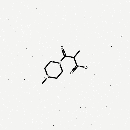 CC(C([O])=O)C(=O)N1CCN(C)CC1